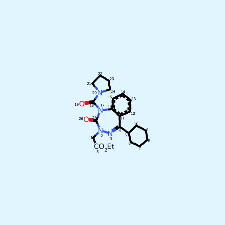 CCOC(=O)CN1N=C(C2CCCCC2)c2ccccc2N(C(=O)N2CCCC2)C1=O